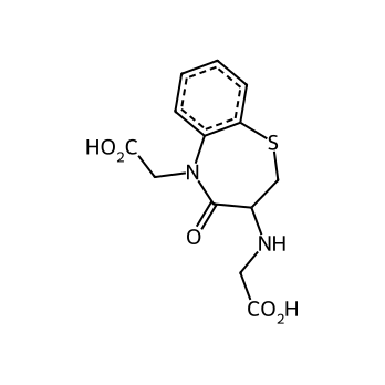 O=C(O)CNC1CSc2ccccc2N(CC(=O)O)C1=O